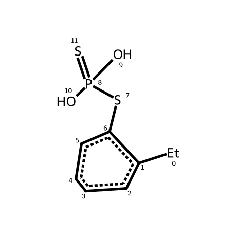 CCc1ccccc1SP(O)(O)=S